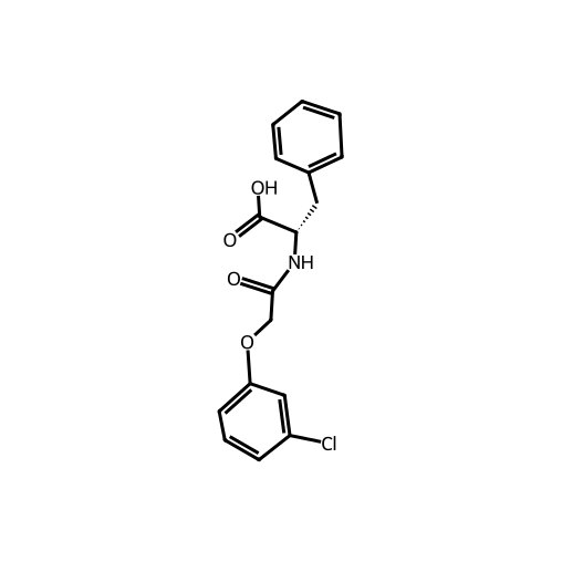 O=C(COc1cccc(Cl)c1)N[C@@H](Cc1ccccc1)C(=O)O